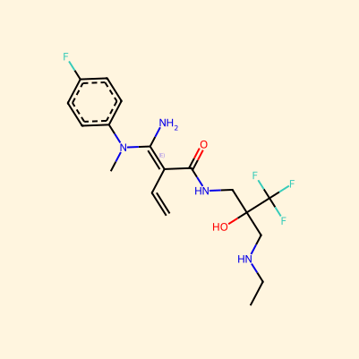 C=C/C(C(=O)NCC(O)(CNCC)C(F)(F)F)=C(/N)N(C)c1ccc(F)cc1